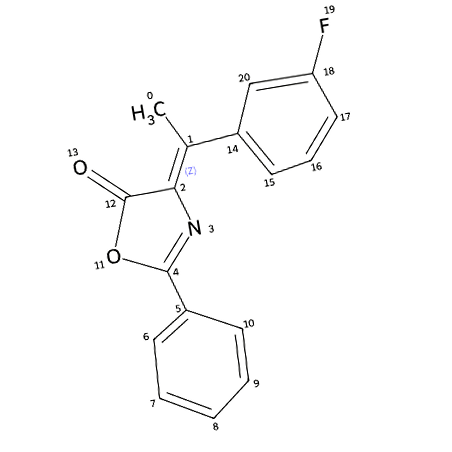 C/C(=C1/N=C(c2ccccc2)OC1=O)c1cccc(F)c1